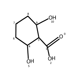 O=C(O)C1C(O)C[CH]CC1O